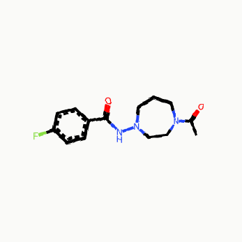 CC(=O)N1CCCN(NC(=O)c2ccc(F)cc2)CC1